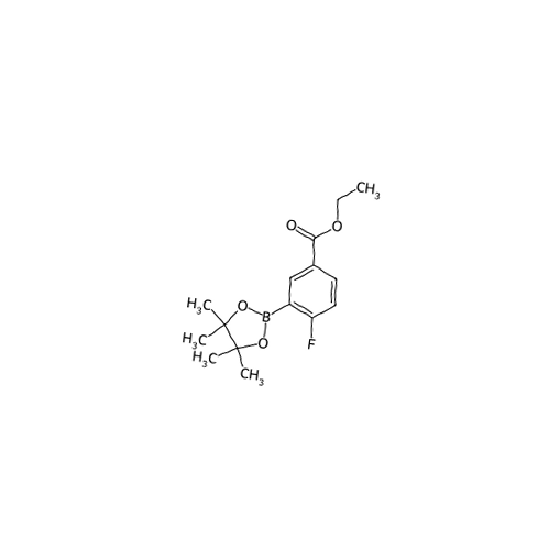 CCOC(=O)c1ccc(F)c(B2OC(C)(C)C(C)(C)O2)c1